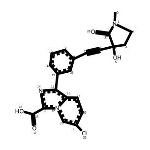 CN1CCC(O)(C#Cc2cccc(-c3nc(C(=O)O)n4cc(Cl)ccc34)c2)C1=O